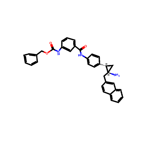 N[C@]1(Cc2ccc3ccccc3c2)C[C@H]1c1ccc(NC(=O)c2cccc(NC(=O)OCc3ccccc3)c2)cc1